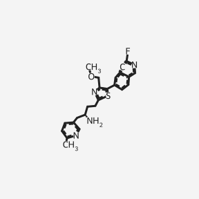 COCc1nc(CC[C@@H](N)Cc2ccc(C)nc2)sc1-c1ccc2cnc(F)cc2c1